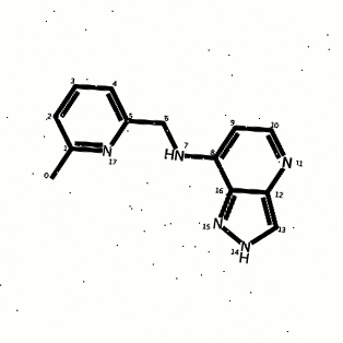 Cc1cccc(CNc2ccnc3c[nH]nc23)n1